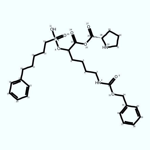 O=C(NCCCCC(OP(=O)(O)CCCCCc1ccccc1)C(=O)OC(=O)[C@@H]1CCCN1)OCc1ccccc1